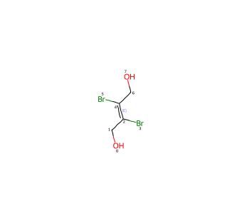 OC/C(Br)=C(\Br)CO